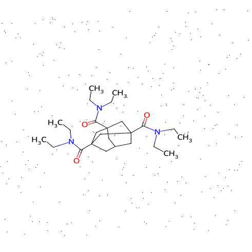 CCN(CC)C(=O)C12CC3CC(C(=O)N(CC)CC)(C1)CC(C(=O)N(CC)CC)(C3)C2